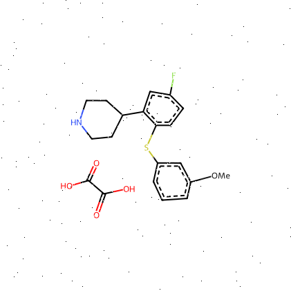 COc1cccc(Sc2ccc(F)cc2C2CCNCC2)c1.O=C(O)C(=O)O